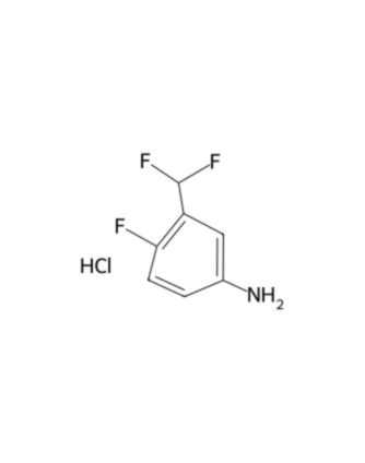 Cl.Nc1ccc(F)c(C(F)F)c1